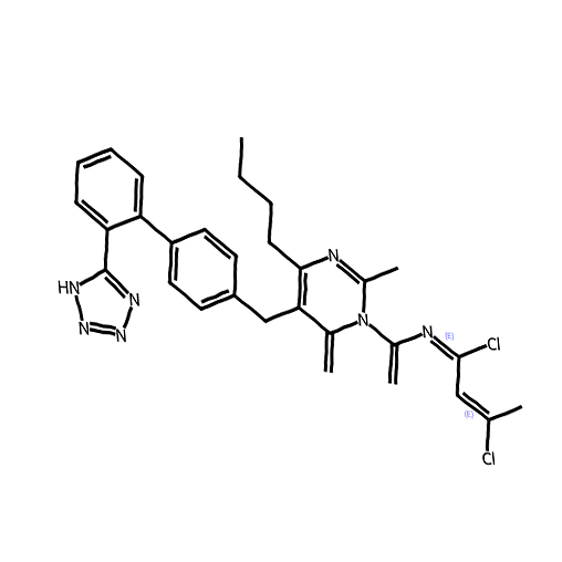 C=C(/N=C(Cl)\C=C(/C)Cl)N1C(=C)C(Cc2ccc(-c3ccccc3-c3nnn[nH]3)cc2)=C(CCCC)N=C1C